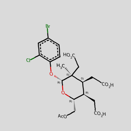 CC(=O)OC[C@@H]1O[C@H](Oc2ccc(Br)cc2Cl)[C@@](C)(CC(=O)O)[C@@H](CC(=O)O)[C@H]1CC(=O)O